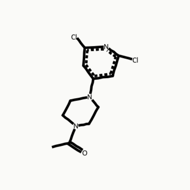 CC(=O)N1CCN(c2cc(Cl)nc(Cl)c2)CC1